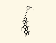 CCCCCCCc1ccc2c(F)c(-c3cc(F)c(-c4ccc(F)c(F)c4)c(F)c3)ccc2c1